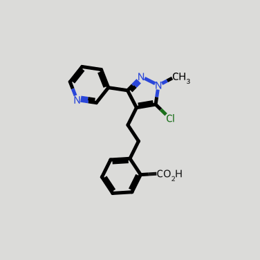 Cn1nc(-c2cccnc2)c(CCc2ccccc2C(=O)O)c1Cl